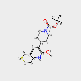 COc1nc2c(cc1C1CCN(C(=O)OC(C)(C)C)CC1)CSCC2